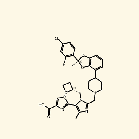 Cc1nc(CN2CCC(c3cccc4c3O[C@@](C)(c3ccc(Cl)cc3F)O4)CC2)n(C[C@H]2CCO2)c1-c1nc(C(=O)O)co1